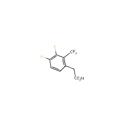 O=C(O)Cc1ccc(F)c(F)c1C(F)(F)F